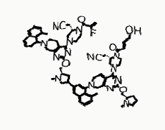 C=C(F)C(=O)N1CCN(c2nc(OC[C@H]3CC(c4cc(N5CCc6c(nc(OC[C@H]7CCCN7C)nc6N6CCN(C(=O)/C=C/CO)[C@@H](CC#N)C6)C5)c5c(C)cccc5c4)CN3C)nc3c2CCN(c2cccc4cccc(C)c24)C3)C[C@@H]1CC#N